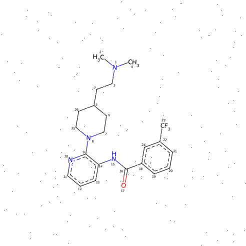 CN(C)CCC1CCN(c2ncccc2NC(=O)c2cccc(C(F)(F)F)c2)CC1